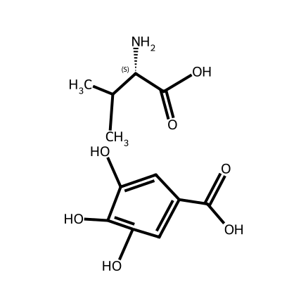 CC(C)[C@H](N)C(=O)O.O=C(O)c1cc(O)c(O)c(O)c1